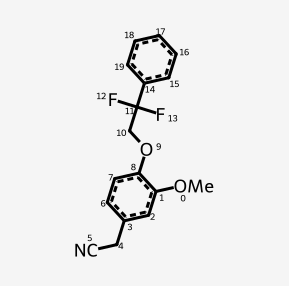 COc1cc(CC#N)ccc1OCC(F)(F)c1ccccc1